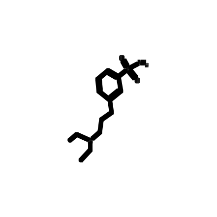 CCN(CC)CCCc1cccc(S(N)(=O)=O)c1